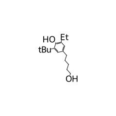 CCc1cc(CCCCCO)cc(C(C)(C)C)c1O